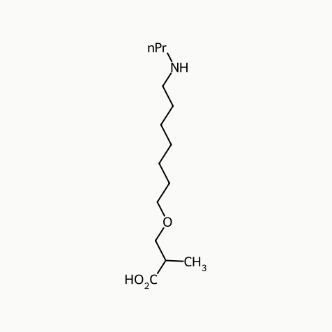 CCCNCCCCCCCOCC(C)C(=O)O